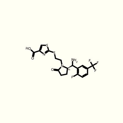 NC(c1cc(C(F)(F)F)ccc1F)[C@H]1CCC(=O)N1CCSc1nc(C(=O)O)cs1